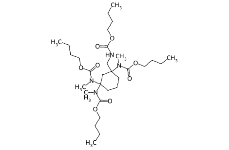 CCCCOC(=O)NCC1(N(C)C(=O)OCCCC)CCCC(N(C)C(=O)OCCCC)(N(C)C(=O)OCCCC)C1